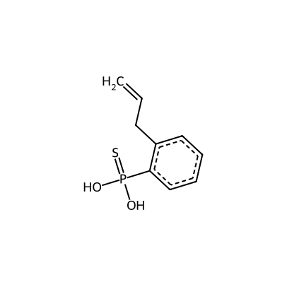 C=CCc1ccccc1P(O)(O)=S